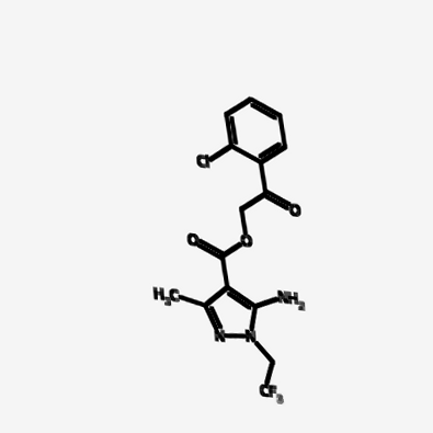 Cc1nn(CC(F)(F)F)c(N)c1C(=O)OCC(=O)c1ccccc1Cl